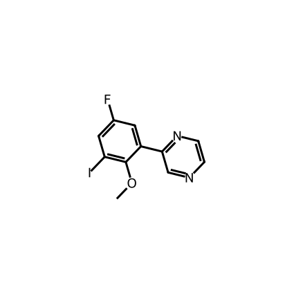 COc1c(I)cc(F)cc1-c1cnccn1